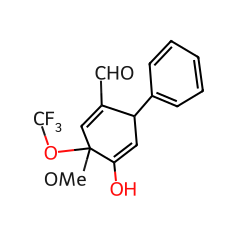 COC1(OC(F)(F)F)C=C(C=O)C(c2ccccc2)C=C1O